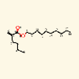 C=C(CCCC)C(=O)OCCCCCCCCCC